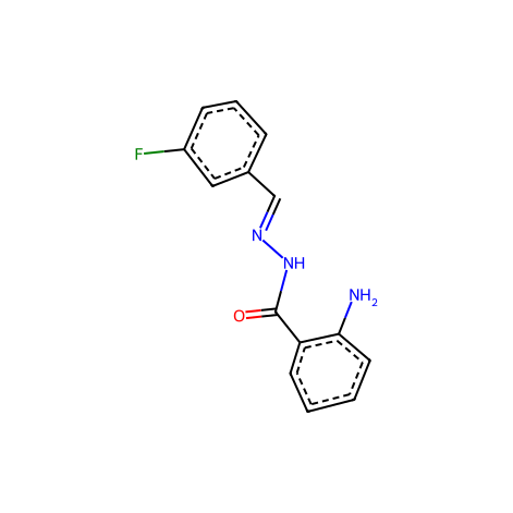 Nc1ccccc1C(=O)NN=Cc1cccc(F)c1